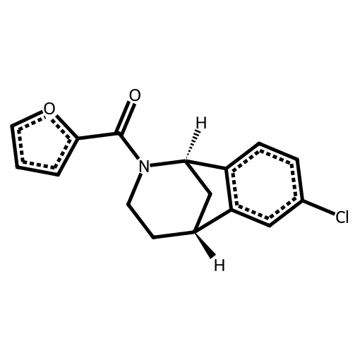 O=C(c1ccco1)N1CC[C@@H]2C[C@@H]1c1ccc(Cl)cc12